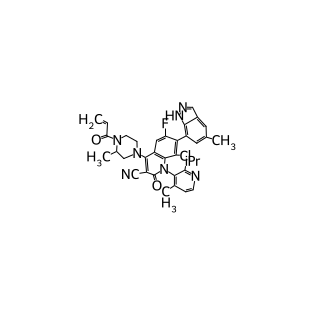 C=CC(=O)N1CCN(c2c(C#N)c(=O)n(-c3c(C)ccnc3C(C)C)c3c(Cl)c(-c4cc(C)cc5cn[nH]c45)c(F)cc23)CC1C